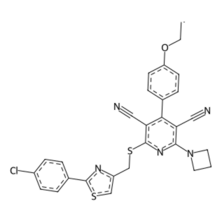 [CH2]COc1ccc(-c2c(C#N)c(SCc3csc(-c4ccc(Cl)cc4)n3)nc(N3CCC3)c2C#N)cc1